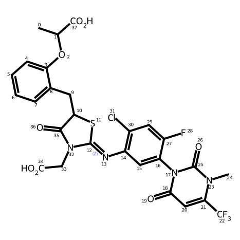 CC(Oc1ccccc1CC1S/C(=N\c2cc(-n3c(=O)cc(C(F)(F)F)n(C)c3=O)c(F)cc2Cl)N(CC(=O)O)C1=O)C(=O)O